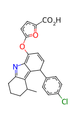 CC1CCCC2=NC3=C(Oc4ccc(C(=O)O)o4)C=CC(c4ccc(Cl)cc4)C3=C21